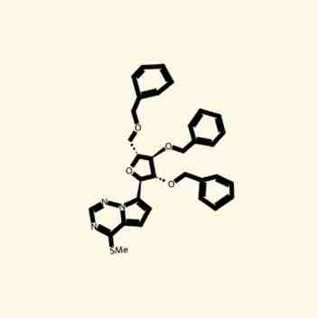 CSc1ncnn2c([C@H]3O[C@H](COCc4ccccc4)[C@@H](OCc4ccccc4)[C@@H]3OCc3ccccc3)ccc12